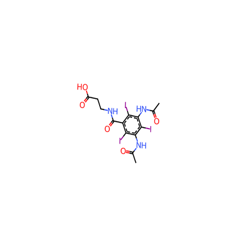 CC(=O)Nc1c(I)c(NC(C)=O)c(I)c(C(=O)NCCC(=O)O)c1I